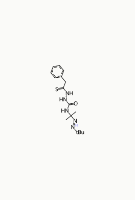 CC(C)(C)/N=N/C(C)(C)NC(=O)NNC(=S)Cc1ccccc1